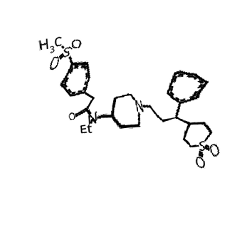 CCN(C(=O)Cc1ccc(S(C)(=O)=O)cc1)C1CCN(CC[C@@H](c2ccccc2)C2CCS(=O)(=O)CC2)CC1